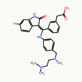 CN(C)CCN(C)Cc1ccc(NC(=C2C(=O)Nc3cc(F)ccc32)c2cccc(CC(=O)O)c2)cc1